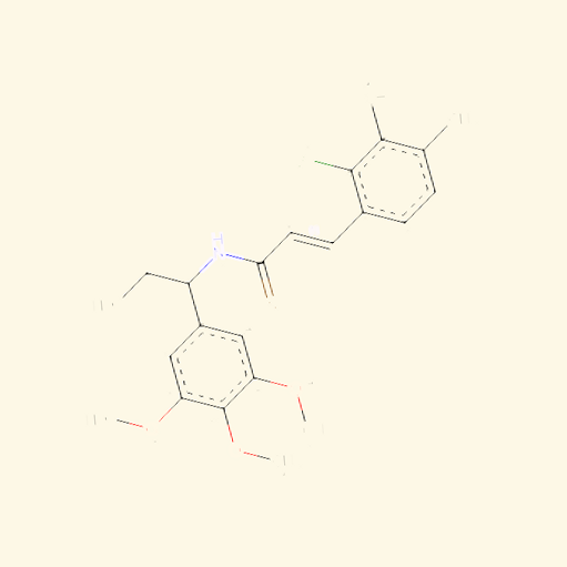 CCC(NC(=S)/C=C/c1ccc(C)c(C)c1Br)c1cc(OC)c(OC)c(OC)c1